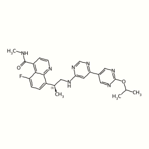 CNC(=O)c1ccnc2c([C@H](C)CNc3cc(-c4cnc(OC(C)C)nc4)ncn3)ccc(F)c12